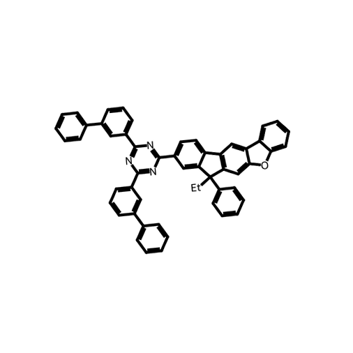 CCC1(c2ccccc2)c2cc(-c3nc(-c4cccc(-c5ccccc5)c4)nc(-c4cccc(-c5ccccc5)c4)n3)ccc2-c2cc3c(cc21)oc1ccccc13